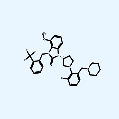 COc1cccc2c1n(Cc1ccccc1C(F)(F)F)c(=O)n2[C@@H]1CCN(c2c(F)cccc2CN2CCCCC2)C1